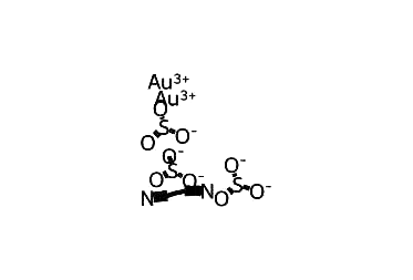 N#CC#N.O=S([O-])[O-].O=S([O-])[O-].O=S([O-])[O-].[Au+3].[Au+3]